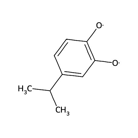 CC(C)c1ccc([O])c([O])c1